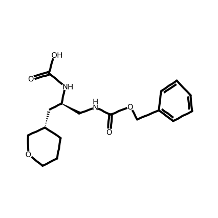 O=C(O)N[C@@H](CNC(=O)OCc1ccccc1)C[C@@H]1CCCOC1